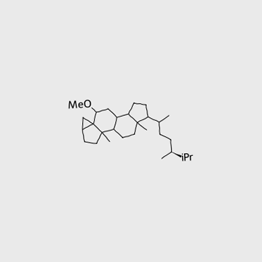 COC1CC2C3CCC(C(C)CC[C@H](C)C(C)C)C3(C)CCC2C2(C)CCC3CC312